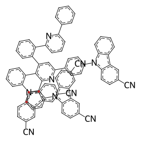 N#Cc1ccc2c(c1)c1ccccc1n2-c1ccc(-c2cc(-c3ccccc3-c3cccc(-c4ccccc4)n3)c(-c3ccccc3-n3c4ccc(C#N)cc4c4cc(C#N)ccc43)c(-c3ccccc3-n3c4ccc(C#N)cc4c4cc(C#N)ccc43)n2)cc1